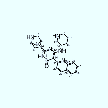 O=c1[nH]c(N2CC3CC2CN3)nc(NC2CCCNC2)c1-c1ccc2ccccc2n1